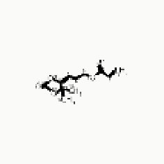 C=CC(=O)OCC/C=C1/OC(=O)OC1(C)C